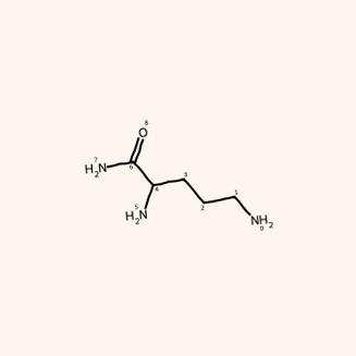 NCCCC(N)C(N)=O